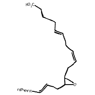 CCCCC/C=C/CC1OC1C/C=C\C/C=C/CCCC(=O)O